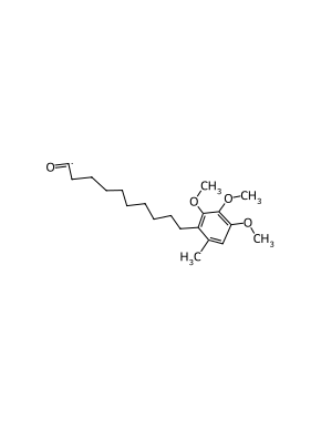 COc1cc(C)c(CCCCCCCCC[C]=O)c(OC)c1OC